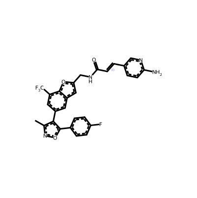 Cc1noc(-c2ccc(F)cc2)c1-c1cc(C(F)(F)F)c2oc(CNC(=O)/C=C/c3ccc(N)nc3)cc2c1